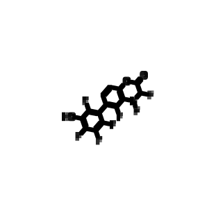 O=C1Oc2ccc(-c3c(F)c(O)c(F)c(F)c3F)c(F)c2N(F)C1F